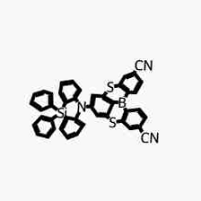 N#Cc1ccc2c(c1)Sc1cc(N3c4ccccc4[Si](c4ccccc4)(c4ccccc4)c4ccccc43)cc3c1B2c1ccc(C#N)cc1S3